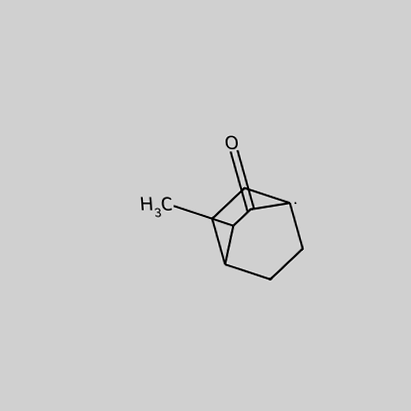 CC1C(=O)[C]2CCC1CC2